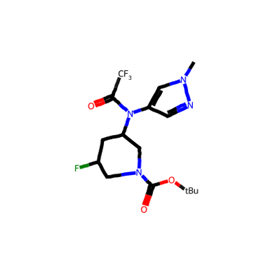 Cn1cc(N(C(=O)C(F)(F)F)C2CC(F)CN(C(=O)OC(C)(C)C)C2)cn1